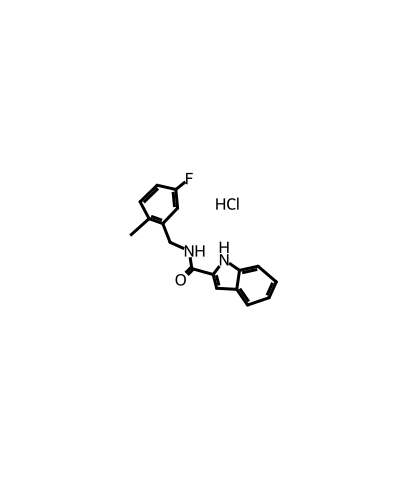 Cc1ccc(F)cc1CNC(=O)c1cc2ccccc2[nH]1.Cl